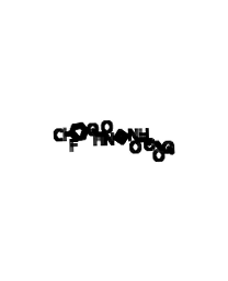 COC(=O)COCC(=O)NC12CC(NC(=O)COc3ccc(Cl)c(F)c3)(C1)C2